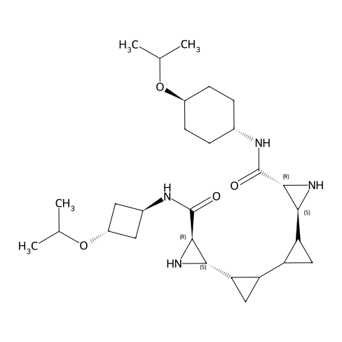 CC(C)O[C@H]1CC[C@H](NC(=O)[C@@H]2N[C@H]2C2CC2C2CC2[C@@H]2N[C@H]2C(=O)N[C@H]2C[C@H](OC(C)C)C2)CC1